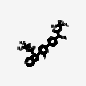 CN(C(=O)OC(C)(C)C)c1ccc(-c2ccc(-c3cc4ccncc4n3C(=O)OC(C)(C)C)c(F)n2)cn1